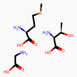 CSCC[C@H](N)C(=O)O.C[C@@H](O)[C@H](N)C(=O)O.NCC(=O)O